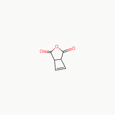 O=C1OC(=O)C2C=CC12